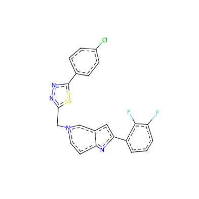 Fc1cccc(-c2cc3cn(Cc4nnc(-c5ccc(Cl)cc5)s4)ccc-3n2)c1F